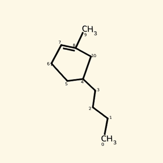 CCCCC1C[CH]C=C(C)C1